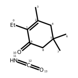 CCC1=C(C)CC(C)(C)CC1=O.N=C=O